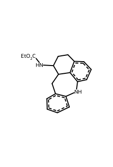 CCOC(=O)NC1CCc2cccc3c2C1Cc1ccccc1N3